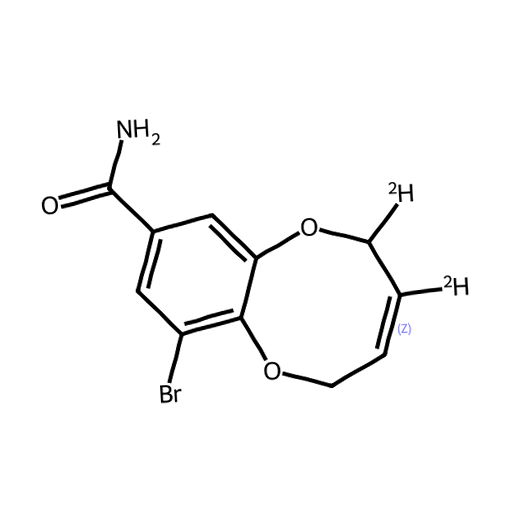 [2H]/C1=C/COc2c(Br)cc(C(N)=O)cc2OC1[2H]